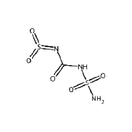 NS(=O)(=O)NC(=O)N=S(=O)=O